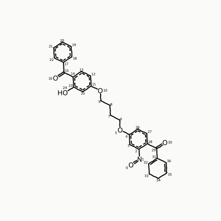 O=Nc1cc(OCCCCOc2ccc(C(=O)c3ccccc3)c(O)c2)ccc1C(=O)C1=CCCC=C1